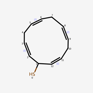 SC1/C=C\C/C=C\C/C=C\C/C=C\1